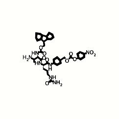 CC(N)[C@H](NC(=O)OCC1c2ccccc2-c2ccccc21)C(=O)N[C@@H](CCCNC(N)=O)C(=O)Nc1ccc(COC(=O)Oc2ccc([N+](=O)[O-])cc2)cc1